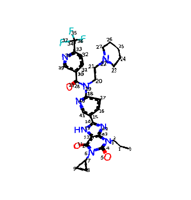 CCCn1c(=O)n(C2CC2)c(=O)c2[nH]c(-c3ccc(N(CCN4CCCCC4)C(=O)c4ccc(C(F)(F)F)nc4)nc3)nc21